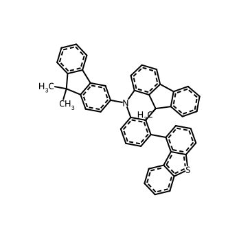 CC1(C)c2ccccc2-c2cc(N3c4cccc5c4C(C)(c4ccccc4-5)c4c(-c5cccc6sc7ccccc7c56)cccc43)ccc21